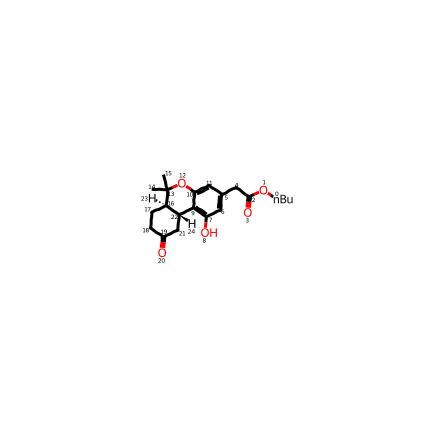 CCCCOC(=O)Cc1cc(O)c2c(c1)OC(C)(C)[C@@H]1CCC(=O)C[C@@H]21